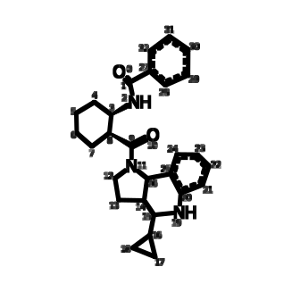 O=C(N[C@@H]1CCCC[C@@H]1C(=O)N1CCC2C(C3CC3)Nc3ccccc3C21)c1ccccc1